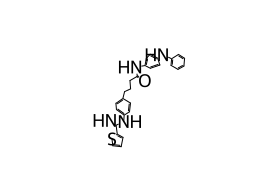 N=C(Nc1ccc(CCCC(=O)Nc2ccc(Nc3ccccc3)cc2)cc1)c1cccs1